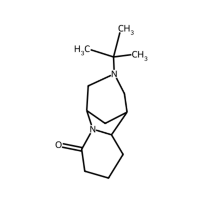 CC(C)(C)N1CC2CC(C1)N1C(=O)CCCC21